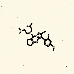 COc1ccc(-c2c(C)nn3c(N(CCN(C)C)CC(C)C)c4c(nc23)CCC4)c(C)c1